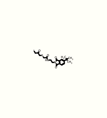 CC(C)(C)c1ccc2c(c1)C(=O)N(CCNC(=O)CSCC(=O)CI)C2=O